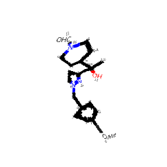 COc1ccc(Cn2ccc(C(C)(O)C3CCN(C=O)CC3)n2)cc1